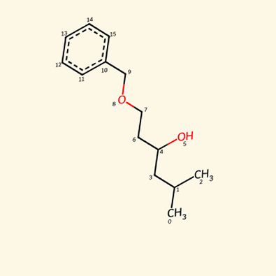 CC(C)CC(O)CCOCc1ccccc1